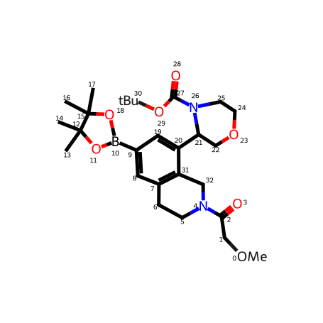 COCC(=O)N1CCc2cc(B3OC(C)(C)C(C)(C)O3)cc(C3COCCN3C(=O)OC(C)(C)C)c2C1